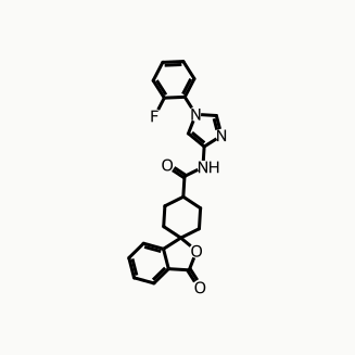 O=C1OC2(CCC(C(=O)Nc3cn(-c4ccccc4F)cn3)CC2)c2ccccc21